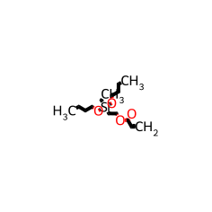 C=CC(=O)OCC[Si](CC)(OCCCC)OCCCC